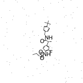 CCCS(=O)(=O)Nc1ccc([C@H](C)C(=O)NCc2ccc(C(C)(C)C)cc2)cc1F